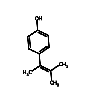 CC(C)=C(C)c1ccc(O)cc1